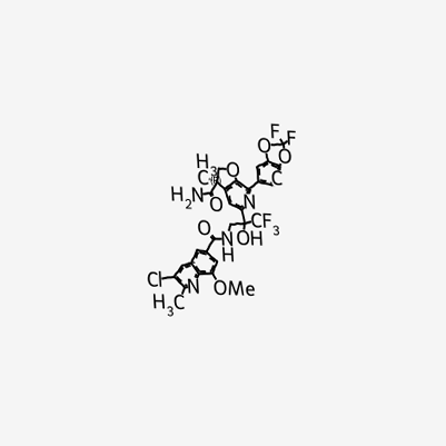 COc1cc(C(=O)NCC(O)(c2cc3c(c(-c4ccc5c(c4)OC(F)(F)O5)n2)OC[C@]3(C)C(N)=O)C(F)(F)F)cc2cc(Cl)c(C)nc12